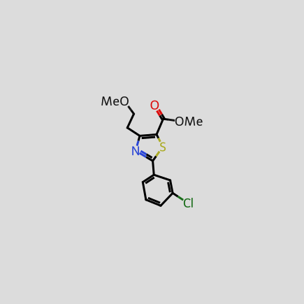 COCCc1nc(-c2cccc(Cl)c2)sc1C(=O)OC